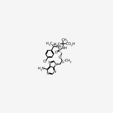 C[C@H](Cn1cnc2c(N)ncnc21)OC[P@](=O)(N[C@H](C)c1ccc(Cl)cc1)NC(C)(C)C(=O)O